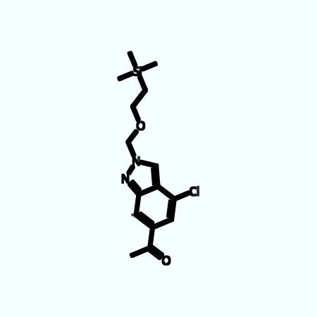 CC(=O)c1[c]c2nn(COCC[Si](C)(C)C)cc2c(Cl)c1